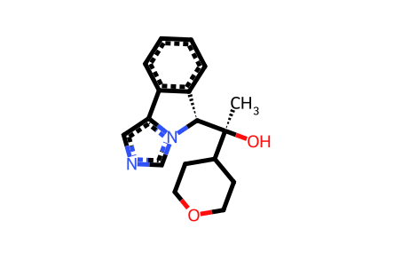 C[C@](O)(C1CCOCC1)[C@H]1c2ccccc2-c2cncn21